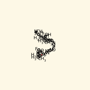 Cc1ncsc1-c1ccc([C@H](C)NC(=O)[C@@H]2C[C@@H](O)CN2C(=O)[C@@H](NC(=O)CN2CCC(CN3CCN(CCC(=O)N4CCN(c5ncc(-c6cc(NC(=O)c7ccc(F)cc7C(F)(F)F)c(N7C[C@@H](C)N(C)[C@@H](C)C7)cc6F)cn5)CC4)CC3)CC2)C(C)(C)C)cc1